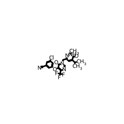 CN/N=C(\C=C(/C=O)C(C)C)Cn1cnc(C(F)(F)F)c(Oc2cc(Cl)cc(C#N)c2)c1=O